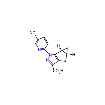 N#Cc1ccc(-n2nc(C(=O)O)c3c2[C@@H]2C[C@@H]2C3)nc1